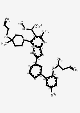 C=CCOC1(C)CCN(c2c(C(OC(C)(C)C)C(=O)O)c(C)nc3cc(-c4cccc(-c5cc(C)ccc5O[C@@H](C)CC=C)c4)nn23)CC1